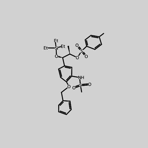 CC[Si](CC)(CC)O[C@H](c1ccc(OCc2ccccc2)c(NS(C)(=O)=O)c1)[C@@H](C)OS(=O)(=O)c1ccc(C)cc1